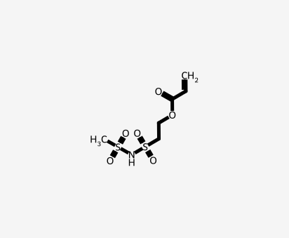 C=CC(=O)OCCS(=O)(=O)NS(C)(=O)=O